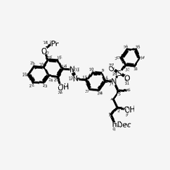 CCCCCCCCCCCC(O)CC(C)N(c1ccc(N=Nc2cc(OC(C)C)c3ccccc3c2O)cc1)S(=O)(=O)c1ccccc1